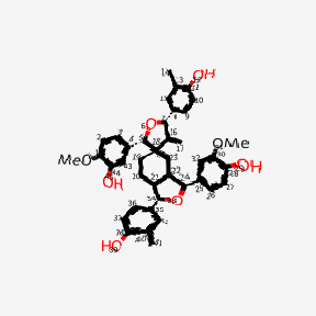 COc1ccc([C@@H]2O[C@H](c3ccc(O)c(C)c3)C(C)[C@@]23CCC2C(C3)[C@@H](c3ccc(O)c(OC)c3)O[C@H]2c2ccc(O)c(C)c2)cc1O